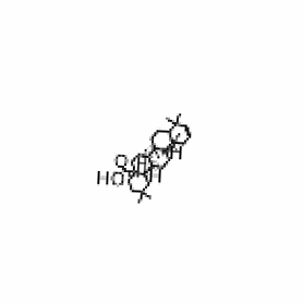 CC1(C)CC[C@]2(C(=O)O)CC[C@]3(C)[C@H](CC[C@@H]4[C@@]5(C)CC=CC(C)(C)C5CC[C@]43C)[C@H]2C1